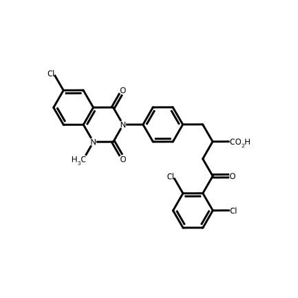 Cn1c(=O)n(-c2ccc(CC(CC(=O)c3c(Cl)cccc3Cl)C(=O)O)cc2)c(=O)c2cc(Cl)ccc21